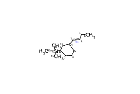 CC/C=C/C1[CH]CCC([Si](C)(C)C)C1